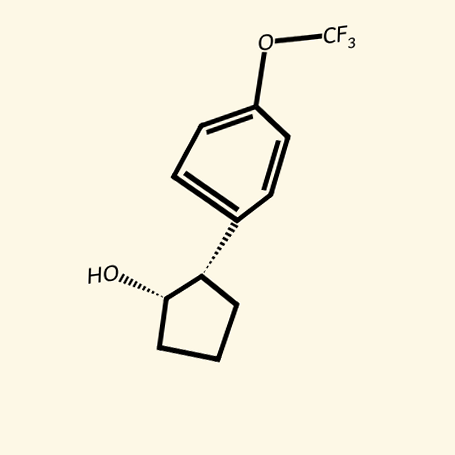 O[C@H]1CCC[C@H]1c1ccc(OC(F)(F)F)cc1